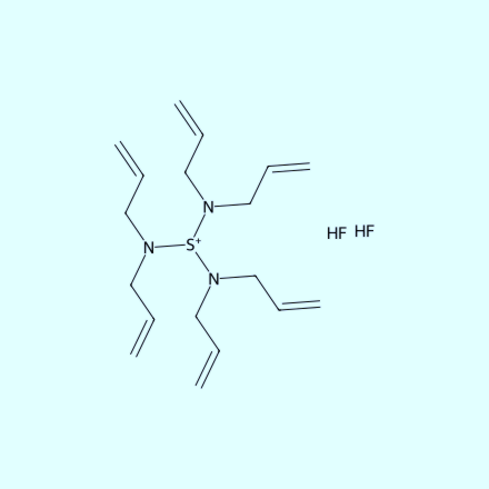 C=CCN(CC=C)[S+](N(CC=C)CC=C)N(CC=C)CC=C.F.F